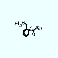 CCC(C)C(=O)Oc1ccccc1CN